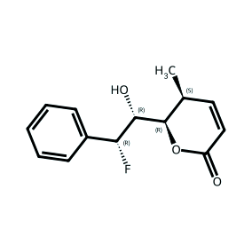 C[C@H]1C=CC(=O)O[C@H]1[C@@H](O)[C@H](F)c1ccccc1